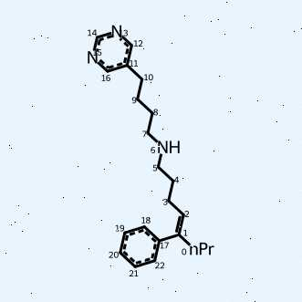 CCCC(=CCCCNCCCCc1cncnc1)c1ccccc1